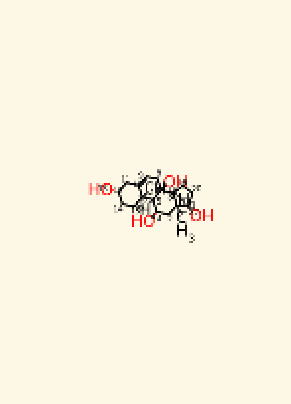 C[C@]12C[C@@H](O)[C@H]3[C@@](O)(CC=C4C[C@@H](O)CC[C@@]43C)[C@@H]1CC[C@@H]2O